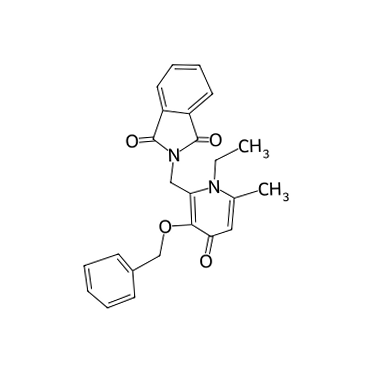 CCn1c(C)cc(=O)c(OCc2ccccc2)c1CN1C(=O)c2ccccc2C1=O